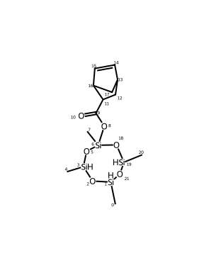 C[SiH]1O[SiH](C)O[Si](C)(OC(=O)C2CC3C=CC2C3)O[SiH](C)O1